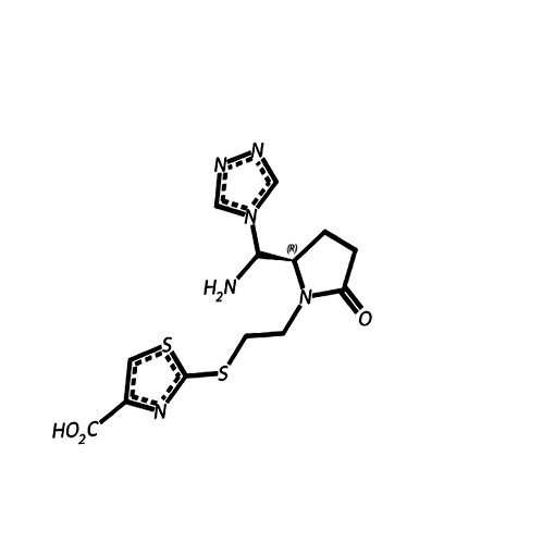 NC([C@H]1CCC(=O)N1CCSc1nc(C(=O)O)cs1)n1cnnc1